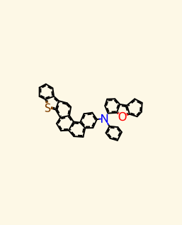 c1ccc(N(c2ccc3c(ccc4ccc5c(ccc6c7ccccc7sc65)c43)c2)c2cccc3c2oc2ccccc23)cc1